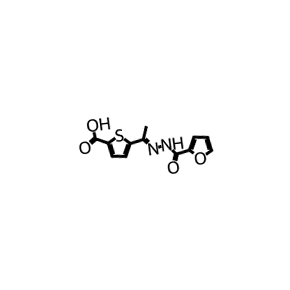 C/C(=N\NC(=O)c1ccco1)c1ccc(C(=O)O)s1